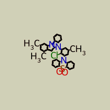 Cc1cc(N2c3ccccc3S(=O)(=O)c3ccccc32)c(Cl)c(-n2c3ccccc3n3c4cc(C)cc(C)c4cc23)c1